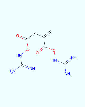 C=C(CC(=O)ONC(=N)N)C(=O)ONC(=N)N